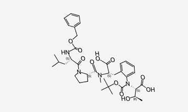 CC(C)C[C@H](NC(=O)OCc1ccccc1)C(=O)N1CCC[C@H]1C(=O)N(C)[C@@H](Cc1ccccc1N(C(=O)OC(C)(C)C)[C@H](C(=O)O)[C@@H](C)O)C(=O)O